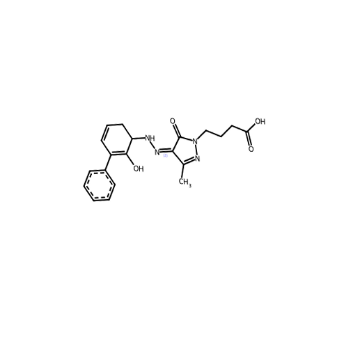 CC1=NN(CCCC(=O)O)C(=O)/C1=N\NC1CC=CC(c2ccccc2)=C1O